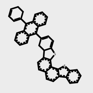 C1=CCCC(c2c3ccccc3c(C3=CC=C4Sc5c(ccc6ccc7c8ccccc8sc7c56)C4C3)c3ccccc23)=C1